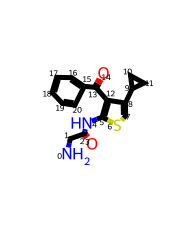 NCC(=O)Nc1scc(C2CC2)c1C(=O)c1ccccc1